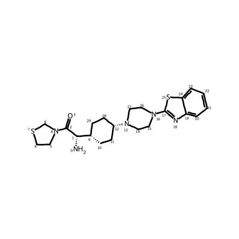 N[C@H](C(=O)N1CCSC1)[C@H]1CC[C@@H](N2CCN(c3nc4ccccc4s3)CC2)CC1